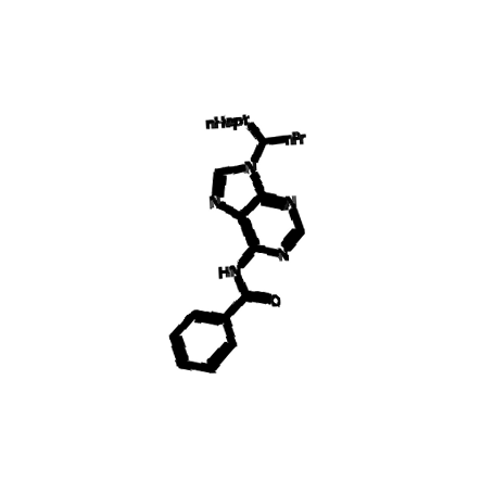 CCCCCCCC(CCC)n1cnc2c(NC(=O)c3ccccc3)ncnc21